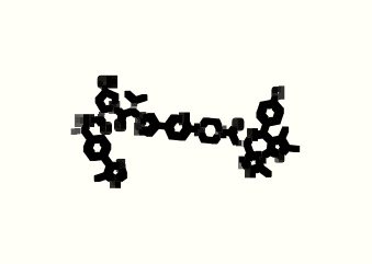 Cc1ncsc1-c1ccc([C@H](C)NC(=O)[C@@H]2C[C@@H](O)CN2C(=O)[C@H](C(C)C)n2cc(-c3ccc(N4CCN(C(=O)C[C@@H]5N=C(c6ccc(Cl)cc6)c6c(sc(C)c6C)-n6c(C)nnc65)CC4)nc3)cn2)cc1